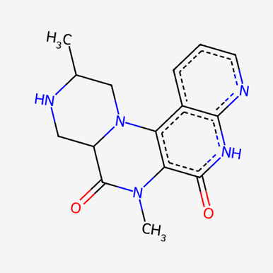 CC1CN2c3c(c(=O)[nH]c4ncccc34)N(C)C(=O)C2CN1